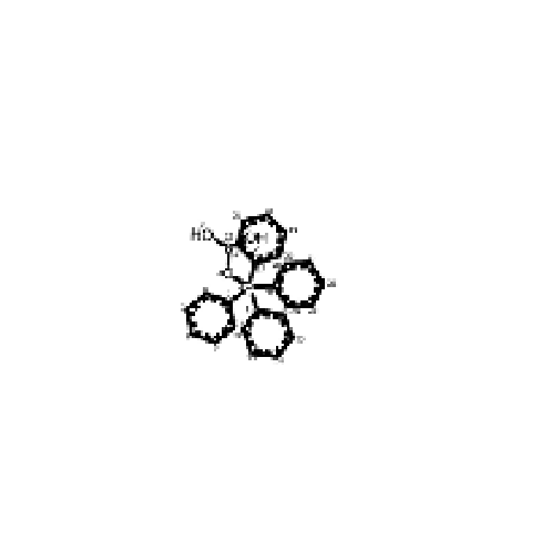 OB(O)OP(c1ccccc1)(c1ccccc1)(c1ccccc1)c1ccccc1